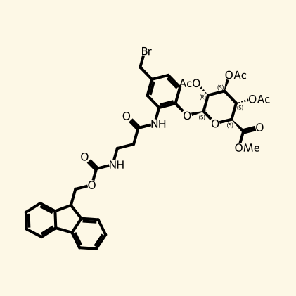 COC(=O)[C@H]1O[C@@H](Oc2ccc(CBr)cc2NC(=O)CCNC(=O)OCC2c3ccccc3-c3ccccc32)[C@H](OC(C)=O)[C@@H](OC(C)=O)[C@@H]1OC(C)=O